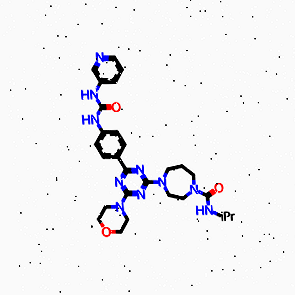 CC(C)NC(=O)N1CCCN(c2nc(-c3ccc(NC(=O)Nc4cccnc4)cc3)nc(N3CCOCC3)n2)CC1